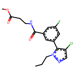 CCCn1ncc(Cl)c1-c1cc(F)cc(C(=O)NCCC(=O)OC)c1